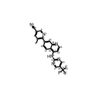 Cc1cc(C#N)cnc1-c1ccc2c(Nc3ncc(C(F)(F)F)cn3)ccnc2c1